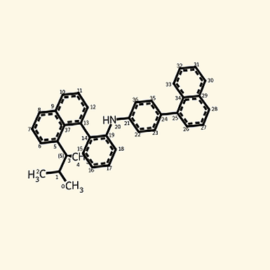 CC(C)[C@H](C)c1cccc2cccc(-c3ccccc3Nc3ccc(-c4cccc5ccccc45)cc3)c12